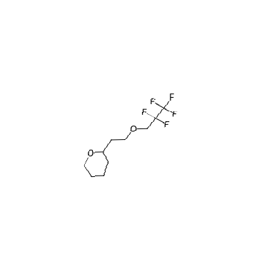 FC(F)(F)C(F)(F)COCCC1CCCCO1